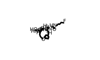 B[C@H]1C(=O)NC(C(=O)NCC(=O)NCCCCCF)Cc2ccc(cc2)OCCC[C@@H]1C(=O)NO